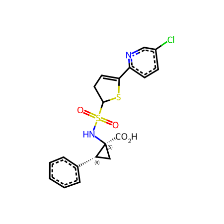 O=C(O)[C@]1(NS(=O)(=O)C2CC=C(c3ccc(Cl)cn3)S2)C[C@@H]1c1ccccc1